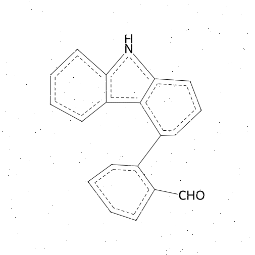 O=Cc1ccccc1-c1cccc2[nH]c3ccccc3c12